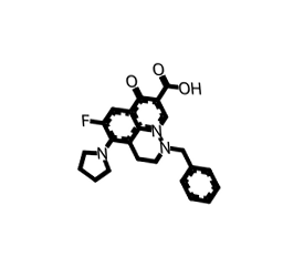 O=C(O)c1cn2c3c(c(N4CCCC4)c(F)cc3c1=O)CCN2Cc1ccccc1